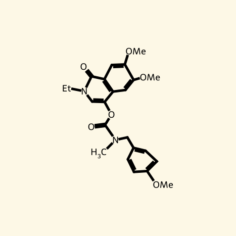 CCn1cc(OC(=O)N(C)Cc2ccc(OC)cc2)c2cc(OC)c(OC)cc2c1=O